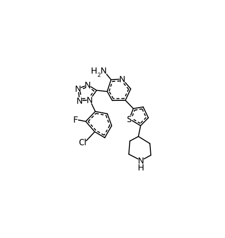 Nc1ncc(-c2ccc(C3CCNCC3)s2)cc1-c1nnnn1-c1cccc(Cl)c1F